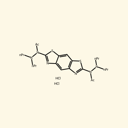 CCCN(CCC)N(C(C)=O)c1nc2cc3nc(N(C(C)=O)N(CCC)CCC)sc3cc2s1.Cl.Cl